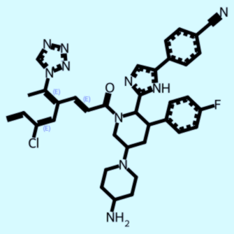 C=C\C(Cl)=C/C(/C=C/C(=O)N1CC(N2CCC(N)CC2)CC(c2ccc(F)cc2)C1c1ncc(-c2ccc(C#N)cc2)[nH]1)=C(\C)n1cnnn1